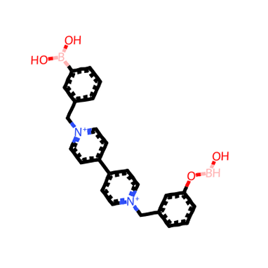 OBOc1cccc(C[n+]2ccc(-c3cc[n+](Cc4cccc(B(O)O)c4)cc3)cc2)c1